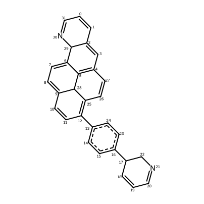 C1=CC2=CC3=C4C(=CC=C5C=CC(c6ccc(C7C=CC=NC7)cc6)=C(C=C3)C54)C2N=C1